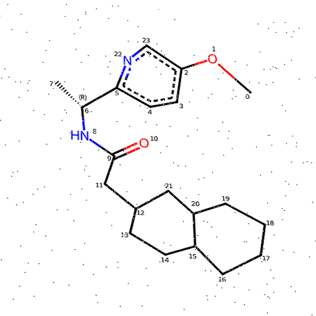 COc1ccc([C@@H](C)NC(=O)CC2CCC3CCCCC3C2)nc1